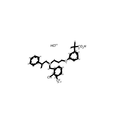 CC(CN(CCCOc1cccc(C(C)(C)C(=O)O)c1)Cc1cccc(C(F)(F)F)c1Cl)c1ccccc1.Cl